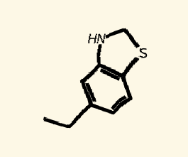 CCc1ccc2c(c1)NCS2